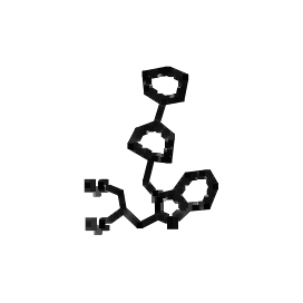 CCC(C)Cc1nc2ccccc2n1Cc1ccc(-c2ccccc2)cc1